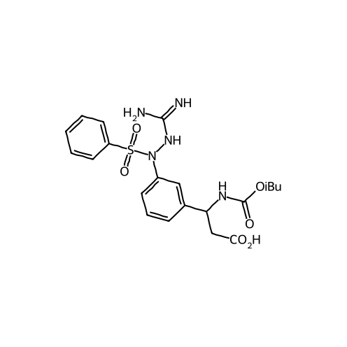 CC(C)COC(=O)NC(CC(=O)O)c1cccc(N(NC(=N)N)S(=O)(=O)c2ccccc2)c1